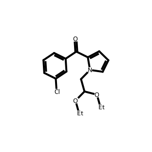 CCOC(Cn1cccc1C(=O)c1cccc(Cl)c1)OCC